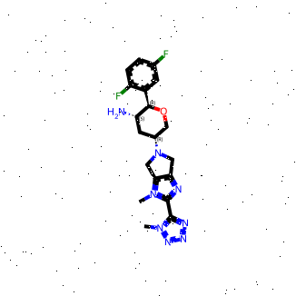 Cn1nnnc1-c1nc2c(n1C)CN([C@H]1CO[C@H](c3cc(F)ccc3F)[C@@H](N)C1)C2